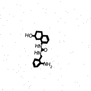 Nc1ccccc1CNC(=O)Nc1cccc2c1CC(O)CC2